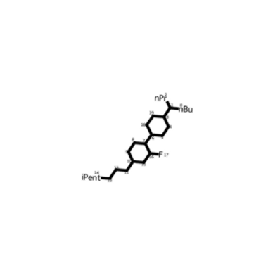 CCCCC(CCC)C1CCC(C2CCC(CCCC(C)CCC)CC2F)CC1